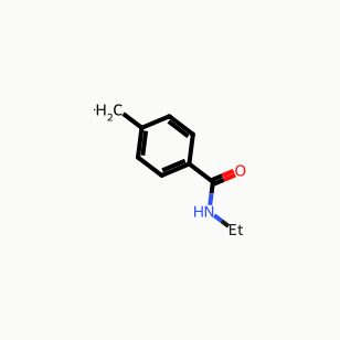 [CH2]c1ccc(C(=O)NCC)cc1